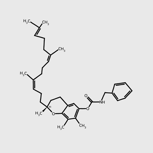 CC(C)=CCCC(C)=CCCC(C)=CCC[C@]1(C)CCc2cc(OC(=O)NCc3ccccc3)c(C)c(C)c2O1